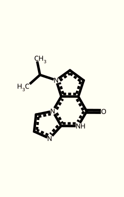 CC(C)n1ccc2c(=O)[nH]c3nccn3c21